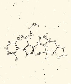 CCOC(=O)c1c(-c2c(F)cccc2Cl)noc1-c1cnn(CC2CCCO2)c1C(F)(F)F